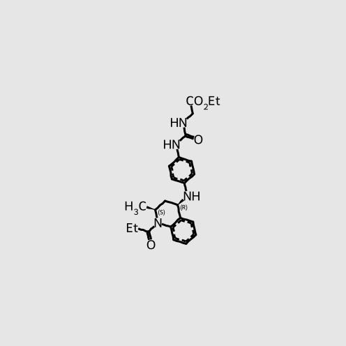 CCOC(=O)CNC(=O)Nc1ccc(N[C@@H]2C[C@H](C)N(C(=O)CC)c3ccccc32)cc1